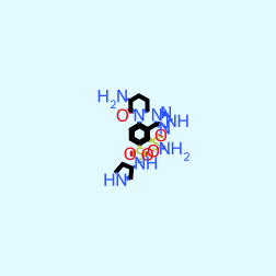 N[C@H]1CCCN(c2ccc(S(=O)(=O)N[C@@H]3CCNC3)c(S(N)(=O)=O)c2-c2nn[nH]n2)C1=O